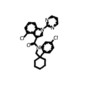 O=C(NCC1(c2ccc(Cl)cc2)CCCCC1)c1cn(-c2ncccn2)c2cccc(Cl)c12